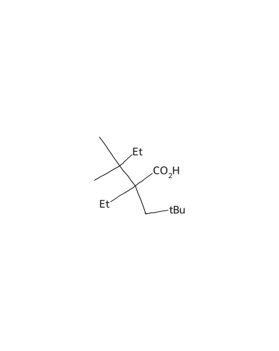 CCC(C)(C)C(CC)(CC(C)(C)C)C(=O)O